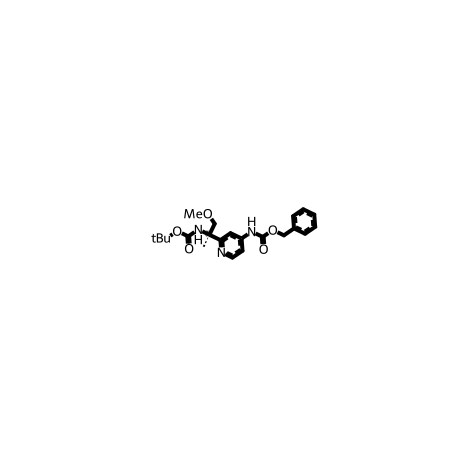 COC[C@](C)(NC(=O)OC(C)(C)C)c1cc(NC(=O)OCc2ccccc2)ccn1